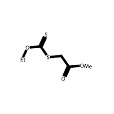 CCOC(=S)SCC(=O)OC